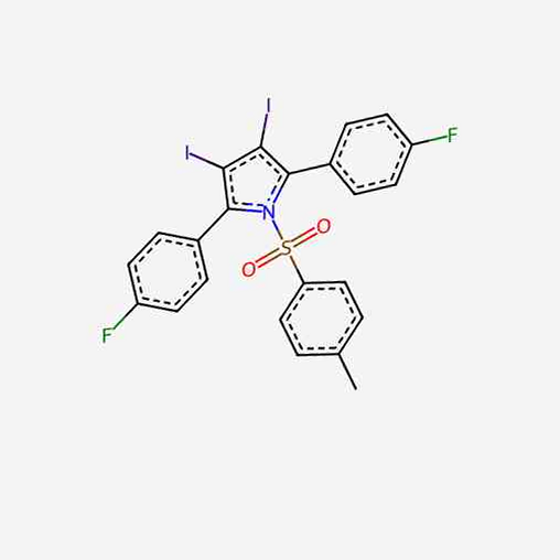 Cc1ccc(S(=O)(=O)n2c(-c3ccc(F)cc3)c(I)c(I)c2-c2ccc(F)cc2)cc1